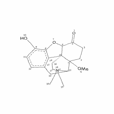 COC12CCC(=O)C3Oc4c(O)ccc5c4[C@@]31CC[N+](C)(C)C2C5